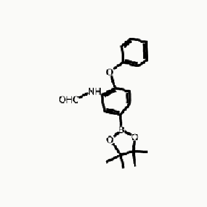 CC1(C)OB(c2ccc(Oc3ccccc3)c(NC=O)c2)OC1(C)C